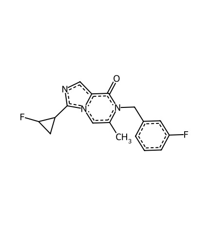 Cc1cn2c(C3CC3F)ncc2c(=O)n1Cc1cccc(F)c1